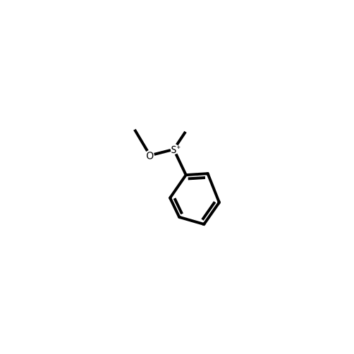 CO[S+](C)c1ccccc1